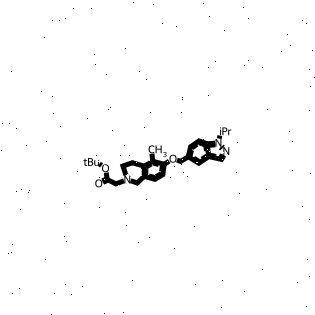 Cc1c(OCc2ccc3c(cnn3C(C)C)c2)ccc2c1CCN(CC(=O)OC(C)(C)C)C2